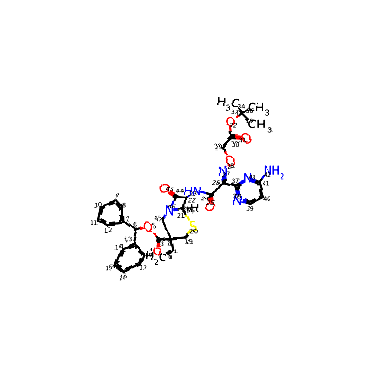 C=CC1(C(=O)OC(c2ccccc2)c2ccccc2)CS[C@@H]2C(NC(=O)C(=NOCC(=O)OC(C)(C)C)c3nccc(N)n3)C(=O)N2C1